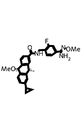 CON=C(N)c1ccc(CNC(=O)c2ccc3c(c2)[C@H](C)c2cc(C4CC4)ccc2[C@@H]3OC)c(F)c1